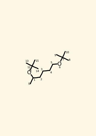 CC(CCCCOC(C)(C)C)OC(C)(C)C